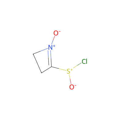 [O-][N+]1=C([S+]([O-])Cl)CC1